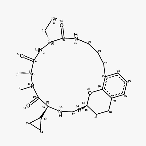 CC(C)C[C@H]1NC(=O)[C@@H](C)N(C)C(=O)[C@H](C2CC2)NC[C@H]2CCc3cccc(c3O2)CCCNC1=O